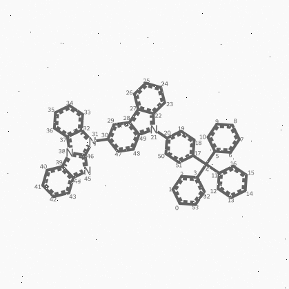 c1ccc(C(c2ccccc2)(c2ccccc2)c2ccc(-n3c4ccccc4c4cc(-n5c6ccccc6n6c7ccccc7nc56)ccc43)cc2)cc1